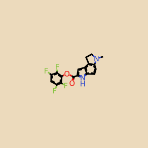 CN1CCc2c1ccc1[nH]c(C(=O)Oc3c(F)c(F)cc(F)c3F)cc21